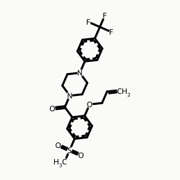 C=CCOc1ccc(S(C)(=O)=O)cc1C(=O)N1CCN(c2ccc(C(F)(F)F)cc2)CC1